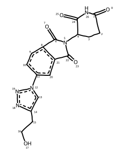 O=C1CCC(N2C(=O)c3ccc(-n4cc(CCO)nn4)cc3C2=O)C(=O)N1